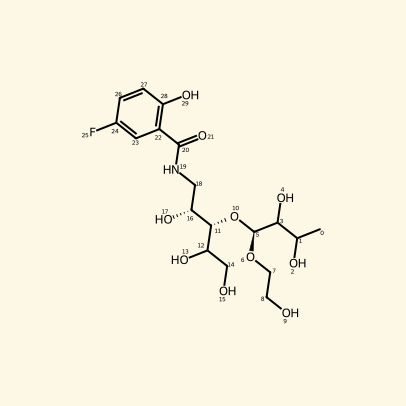 CC(O)C(O)[C@@H](OCCO)O[C@H](C(O)CO)[C@H](O)CNC(=O)c1cc(F)ccc1O